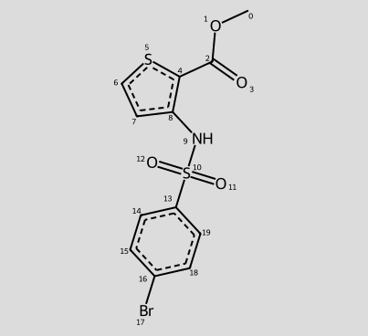 COC(=O)c1sccc1NS(=O)(=O)c1ccc(Br)cc1